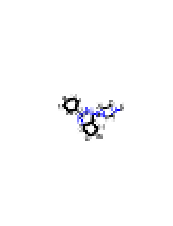 CN1CCN(c2nc(-c3ccccc3)nc3ccccc23)CC1